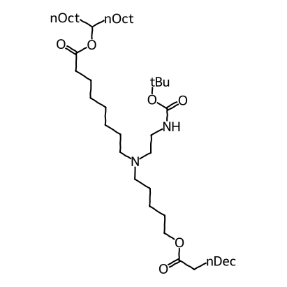 CCCCCCCCCCCC(=O)OCCCCCN(CCCCCCCC(=O)OC(CCCCCCCC)CCCCCCCC)CCNC(=O)OC(C)(C)C